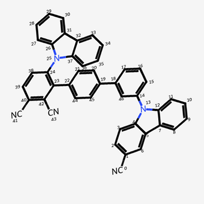 N#Cc1ccc2c(c1)c1ccccc1n2-c1cccc(-c2ccc(-c3c(-n4c5ccccc5c5ccccc54)ccc(C#N)c3C#N)cc2)c1